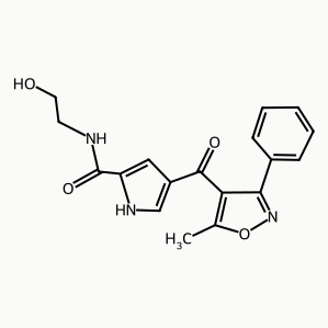 Cc1onc(-c2ccccc2)c1C(=O)c1c[nH]c(C(=O)NCCO)c1